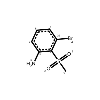 CS(=O)(=O)c1c(N)cccc1Br